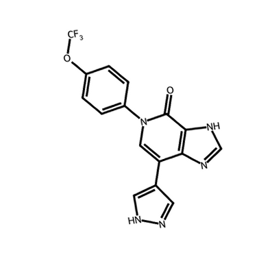 O=c1c2[nH]cnc2c(-c2cn[nH]c2)cn1-c1ccc(OC(F)(F)F)cc1